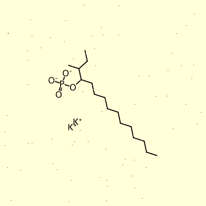 CCCCCCCCCCCC(OP(=O)([O-])[O-])C(C)CC.[K+].[K+]